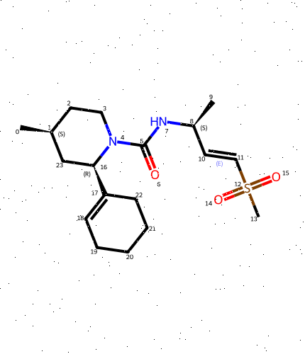 C[C@H]1CCN(C(=O)N[C@@H](C)/C=C/S(C)(=O)=O)[C@@H](C2=CCCCC2)C1